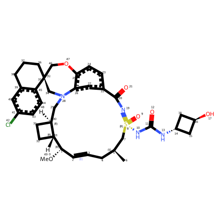 CO[C@H]1/C=C/C[C@H](C)C[S@@](=O)(NC(=O)N[C@H]2C[C@H](O)C2)=NC(=O)c2ccc3c(c2)N(C[C@@H]2CC[C@H]21)C[C@@]1(CCCc2cc(Cl)ccc21)CO3